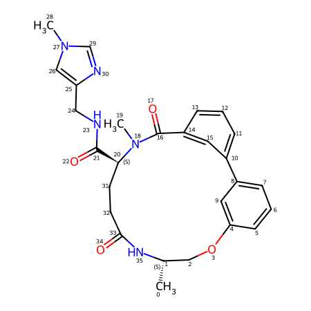 C[C@H]1COc2cccc(c2)-c2cccc(c2)C(=O)N(C)[C@H](C(=O)NCc2cn(C)cn2)CCC(=O)N1